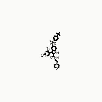 COc1ncc(-c2c(C(=O)NCCN3CCOCC3)[nH]c3ccc(NS(=O)(=O)c4ccc(C(C)(C)C)cc4)cc23)c(OC)n1